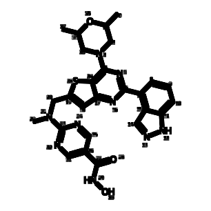 CC1CN(c2nc(-c3cccc4[nH]ncc34)nc3cc(CN(C)c4ncc(C(=O)NO)cn4)sc23)CC(C)O1